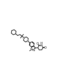 Cn1nc(C2CCC(=O)NC2=O)c2ccc(N3CCN(C(C)(C)CCC4CCCCC4)CC3)cc21